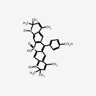 CCN1c2cc3c(cc2C(C)=CC1(C)C)C(c1ccc(C(=O)O)cc1)=c1cc2c(cc1P3(=O)O)=[N+](CC)C(C)(C)C=C2C